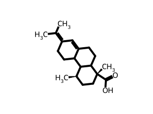 CC(C)=C1C=C2CCC3C(C2CC1)[C@H](C)CC[C@@]3(C)C(=O)O